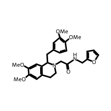 COc1ccc(CC2c3cc(OC)c(OC)cc3CCN2CC(=O)NCc2ccco2)cc1OC